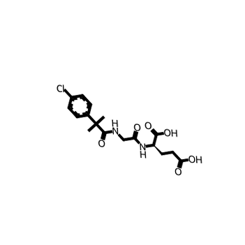 CC(C)(C(=O)NCC(=O)N[C@H](CCC(=O)O)C(=O)O)c1ccc(Cl)cc1